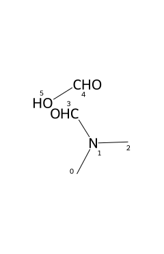 CN(C)C=O.O=CO